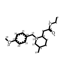 CCOC(=O)CC1CCC(C)CN1Cc1ccc(OC)cc1